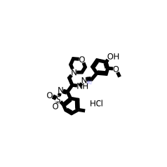 COc1cc(/C=N/NC(CN2CCOCC2)C2=NS(=O)(=O)c3ccc(C)cc32)ccc1O.Cl